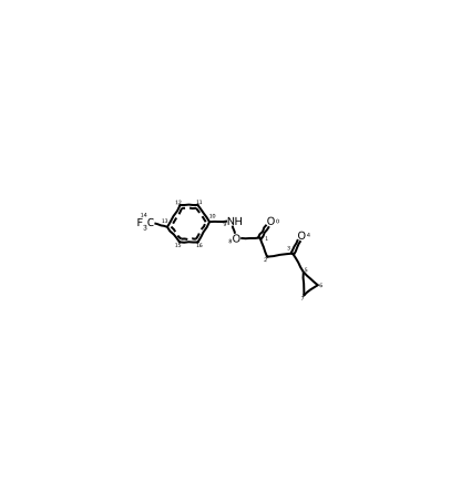 O=C(CC(=O)C1CC1)ONc1ccc(C(F)(F)F)cc1